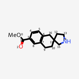 COC(=O)c1ccc2c(c1)CCC1(CCNC1)C2